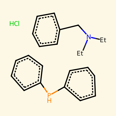 CCN(CC)Cc1ccccc1.Cl.c1ccc(Pc2ccccc2)cc1